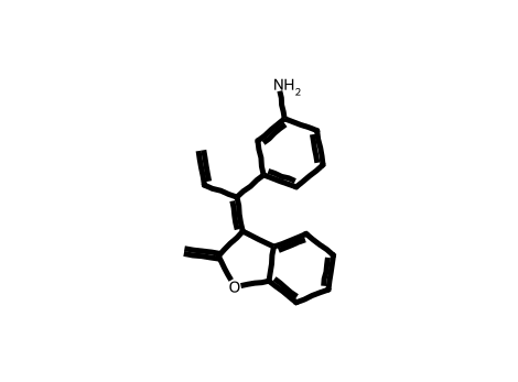 C=C/C(c1cccc(N)c1)=c1\c(=C)oc2ccccc12